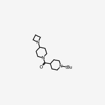 CC(C)(C)N1CCC(C(=O)N2CCC(N3CCC3)CC2)CC1